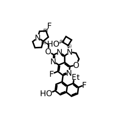 CCc1c(F)ccc2cc(O)cc(-c3nc4c5c(nc(OC[C@@]67CCCN6C[C@H](F)C7)nc5c3F)N([C@H]3CC[C@H]3O)CCO4)c12